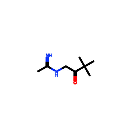 CC(=N)NCC(=O)C(C)(C)C